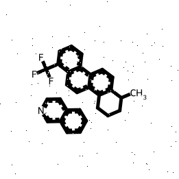 CC1CCCc2c1ccc1c2ccc2c(C(F)(F)F)cccc21.c1ccc2cnccc2c1